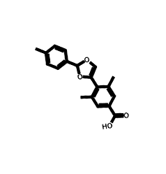 Cc1ccc(C2OC=C(c3c(C)cc(C(=O)O)cc3C)O2)cc1